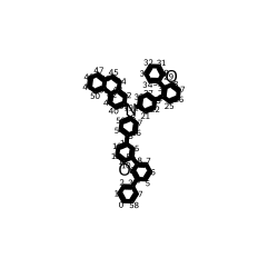 c1ccc(-c2cccc3c2oc2ccc(-c4ccc(N(c5ccc(-c6cccc7oc8ccccc8c67)cc5)c5ccc6c(ccc7ccccc76)c5)cc4)cc23)cc1